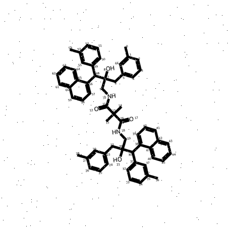 Cc1cccc(CC(O)(CNC(=O)C(C)(C)C(=O)NCC(O)(Cc2cccc(C)c2)C(c2cccc(C)c2)c2cccc3ccccc23)C(c2cccc(C)c2)c2cccc3ccccc23)c1